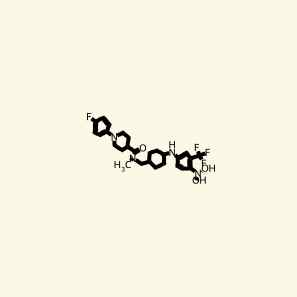 CN(CC1CCC(Nc2ccc(N(O)O)c(C(F)(F)F)c2)CC1)C(=O)C1CCN(c2ccc(F)cc2)CC1